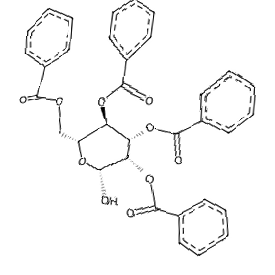 O=C(OC[C@H]1O[C@@H](O)[C@@H](OC(=O)c2ccccc2)[C@@H](OC(=O)c2ccccc2)[C@@H]1OC(=O)c1ccccc1)c1ccccc1